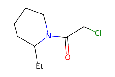 CCC1CCCCN1C(=O)CCl